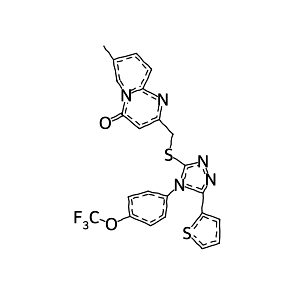 Cc1ccc2nc(CSc3nnc(-c4cccs4)n3-c3ccc(OC(F)(F)F)cc3)cc(=O)n2c1